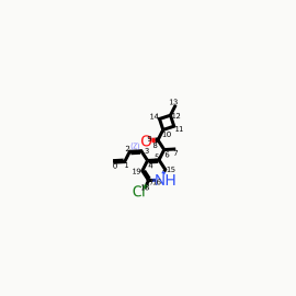 C=C/C=C\C1=C(C(C)C(=O)C2CC(C)C2)CNC(Cl)=C1